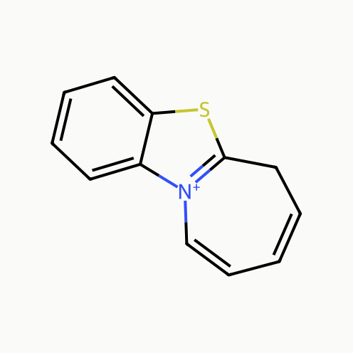 C1=CCc2sc3ccccc3[n+]2C=C1